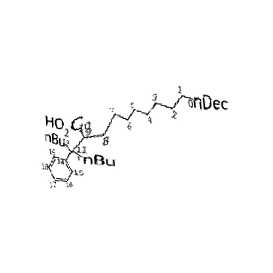 CCCCCCCCCCCCCCCCCCC(C(=O)O)C(CCCC)(CCCC)c1ccccc1